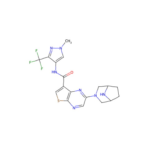 Cn1cc(NC(=O)c2csc3ncc(N4CC5CCC(C4)N5)nc23)c(C(F)(F)F)n1